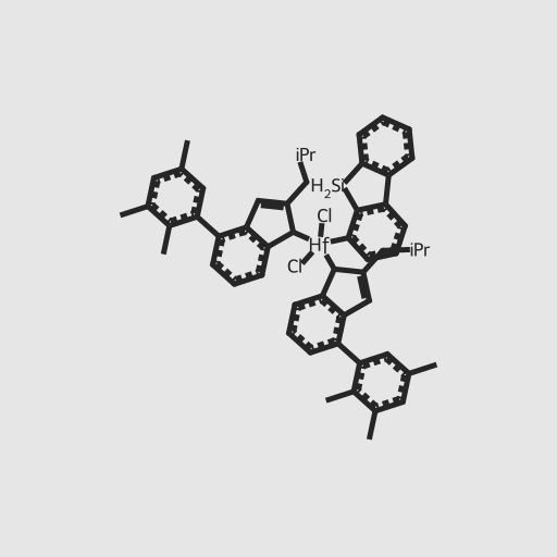 Cc1cc(C)c(C)c(-c2cccc3c2C=C(CC(C)C)[CH]3[Hf]([Cl])([Cl])([c]2cccc3c2[SiH2]c2ccccc2-3)[CH]2C(CC(C)C)=Cc3c(-c4cc(C)cc(C)c4C)cccc32)c1